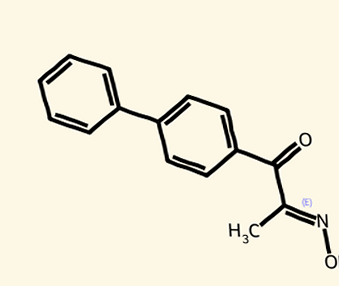 C/C(=N\O)C(=O)c1ccc(-c2ccccc2)cc1